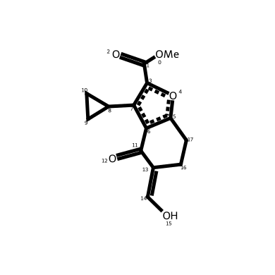 COC(=O)c1oc2c(c1C1CC1)C(=O)C(=CO)CC2